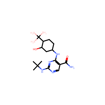 BC(B)(B)C1CCC(Nc2nc(NC(C)(C)C)ncc2C(N)=O)CC1O